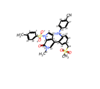 Cc1ccc(S(=O)(=O)n2ccc3c(-c4cc(CS(C)(=O)=O)ccc4Nc4ccc(C#N)cc4)cn(C)c(=O)c32)cc1